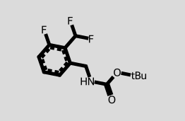 CC(C)(C)OC(=O)NCc1cccc(F)c1C(F)F